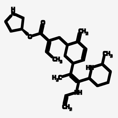 C=CN/C(=C(\C)C1C=CC(=C)C(C/C(=C\C)C(=O)O[C@H]2CCNC2)C1)C1CCCC(C)N1